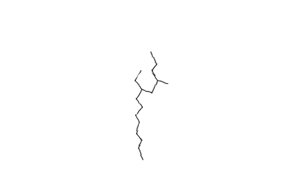 CCCCCCCCC(CC)CC(C)CCC